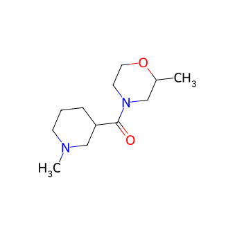 CC1CN(C(=O)C2CCCN(C)C2)CCO1